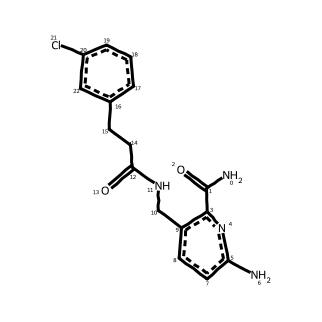 NC(=O)c1nc(N)ccc1CNC(=O)[CH]Cc1cccc(Cl)c1